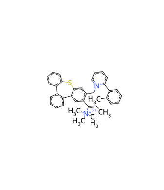 C/C=C(/c1cc2c(cc1C[n+]1ccccc1-c1ccccc1C)Sc1ccccc1-c1ccccc1-2)[N+](C)(C)C